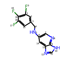 Fc1cc(CNc2cnc3[nH]cnc3c2)cc(F)c1F